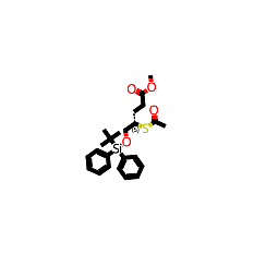 COC(=O)CC[C@@H](CO[Si](c1ccccc1)(c1ccccc1)C(C)(C)C)SC(C)=O